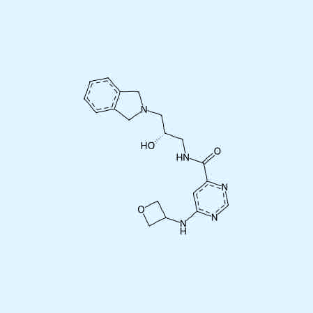 O=C(NC[C@H](O)CN1Cc2ccccc2C1)c1cc(NC2COC2)ncn1